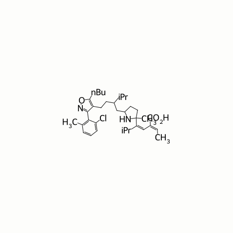 C/C=C(\C=C(\C(C)C)C1(C)CCC(CC(CCc2c(-c3c(C)cccc3Cl)noc2CCCC)C(C)C)N1)C(=O)O